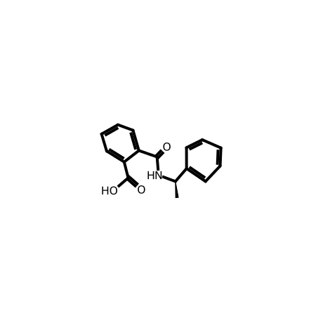 C[C@@H](NC(=O)c1ccccc1C(=O)O)c1ccccc1